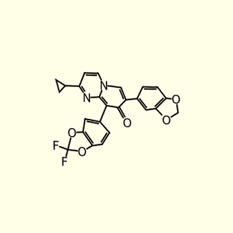 O=c1c(-c2ccc3c(c2)OCO3)cn2ccc(C3CC3)nc2c1-c1ccc2c(c1)OC(F)(F)O2